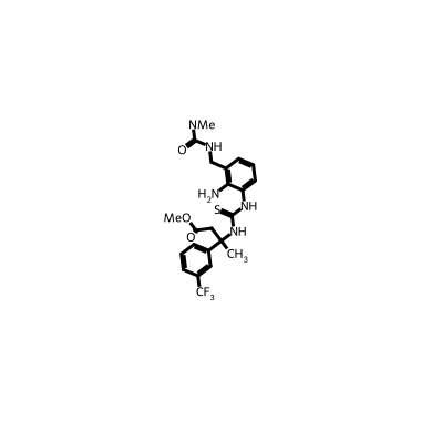 CNC(=O)NCc1cccc(NC(=S)NC(C)(CC(=O)OC)c2cccc(C(F)(F)F)c2)c1N